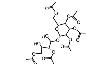 CC(=O)OCC(O)[C@@H](OC(C)=O)C(O)O[C@@H]1OC(COC(C)=O)[C@@H](OC(C)=O)C(OC(C)=O)C1OC(C)=O